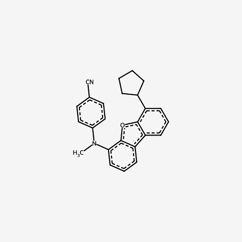 CN(c1ccc(C#N)cc1)c1cccc2c1oc1c(C3CCCC3)cccc12